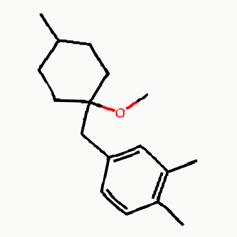 COC1(Cc2ccc(C)c(C)c2)CCC(C)CC1